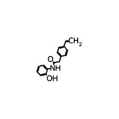 C=Cc1ccc(CC(=O)Nc2ccccc2O)cc1